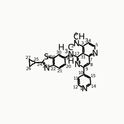 CN(C)c1ccnc2cc(-c3ccncc3)nc(Nc3ccc4nc(C5CC5)sc4c3)c12